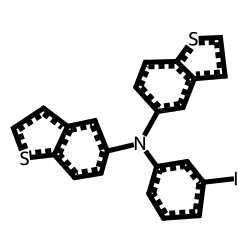 Ic1cccc(N(c2ccc3sccc3c2)c2ccc3sccc3c2)c1